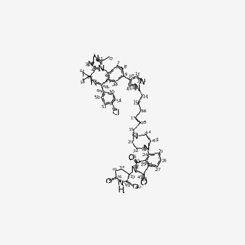 Cc1nnc2n1-c1ccc(-c3cnn(CCCCCCN4CCN(c5cccc6c5C(=O)N(C5CCC(=O)NC5=O)C6=O)CC4)c3)cc1C(c1ccc(Cl)cc1)=NC21CC1